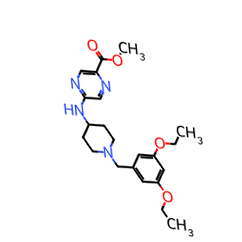 CCOc1cc(CN2CCC(Nc3cnc(C(=O)OC)cn3)CC2)cc(OCC)c1